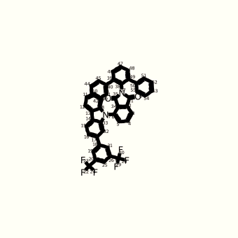 O=C1c2cccc(-n3c4ccccc4c4ccc(-c5cc(C(F)(F)F)cc(C(F)(F)F)c5)cc43)c2C(=O)N1c1c(-c2ccccc2)cccc1-c1ccccc1